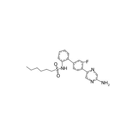 CCCCCCS(=O)(=O)Nc1ccccc1-c1ccc(-c2cnc(N)cn2)c(F)c1